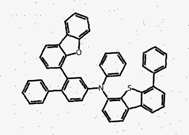 c1ccc(-c2ccc(N(c3ccccc3)c3cccc4c3sc3c(-c5ccccc5)cccc34)cc2-c2cccc3c2oc2ccccc23)cc1